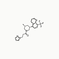 C[C@H]1C[C@@H](c2ccc(C(F)(F)F)c3ncccc23)CN(C(=O)CCn2cccn2)C1